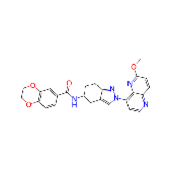 COc1ccc2nccc(-n3cc4c(n3)CCC(NC(=O)c3ccc5c(c3)OCCO5)C4)c2n1